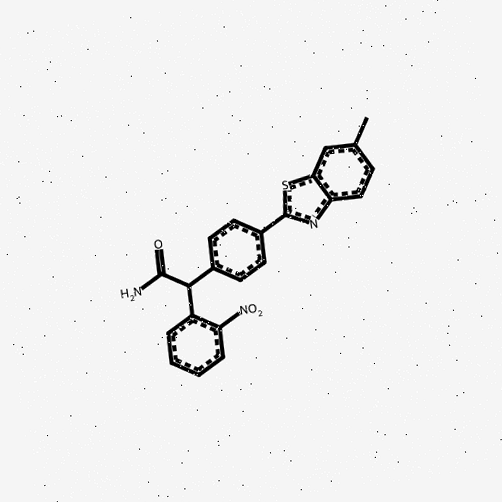 Cc1ccc2nc(-c3ccc(C(C(N)=O)c4ccccc4[N+](=O)[O-])cc3)sc2c1